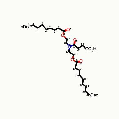 CCCCCCCCCCCCCCCCCC(=O)OCCN(CCOC(=O)CCCCCCCCCCCCCCCCC)C(=O)CCC(=O)O